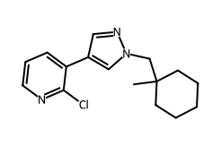 CC1(Cn2cc(-c3cccnc3Cl)cn2)CCCCC1